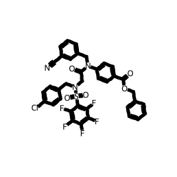 N#Cc1cccc(CN(C(=O)CN(Cc2ccc(Cl)cc2)S(=O)(=O)c2c(F)c(F)c(F)c(F)c2F)c2ccc(C(=O)OCc3ccccc3)cc2)c1